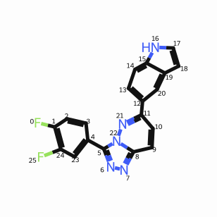 Fc1ccc(-c2nnc3ccc(-c4ccc5[nH]ccc5c4)nn23)cc1F